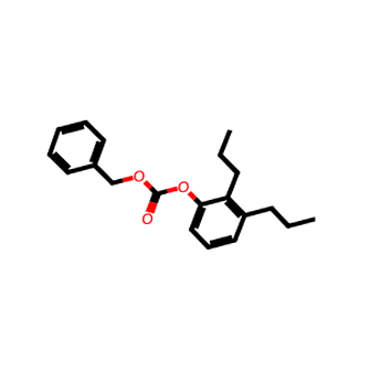 CCCc1cccc(OC(=O)OCc2ccccc2)c1CCC